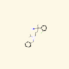 CC(C)N(CCCC(C#N)(c1ccccc1Cl)C(C)C)Cc1ccccc1